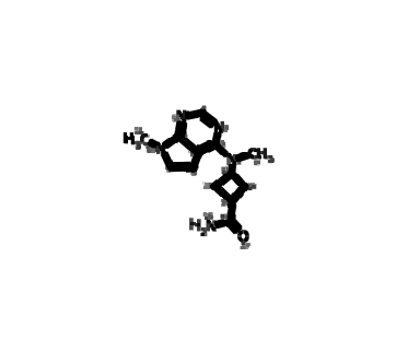 CN(c1ncnc2c1ccn2C)C1CC(C(N)=O)C1